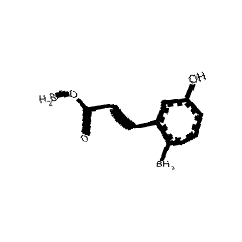 BOC(=O)/C=C/c1cc(O)ccc1B